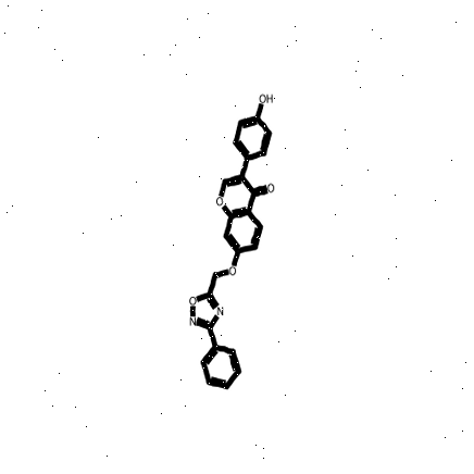 O=c1c(-c2ccc(O)cc2)coc2cc(OCc3nc(-c4ccccc4)no3)ccc12